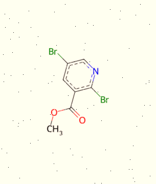 COC(=O)c1cc(Br)cnc1Br